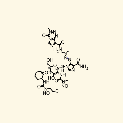 CN(C)/N=N/c1[nH]cnc1C(N)=O.CN(N=O)C(=O)N[C@@H]1[C@@H](O)[C@H](O)[C@@H](CO)O[C@@H]1O.Cn1nnc2c(C(N)=O)ncn2c1=O.O=NN(CCCl)C(=O)NC1CCCCC1